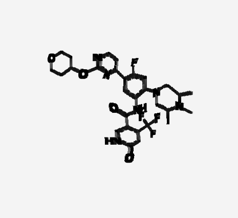 CC1CN(c2cc(F)c(-c3ccnc(OC4CCOCC4)n3)cc2NC(=O)c2c[nH]c(=O)cc2C(F)(F)F)CC(C)N1C